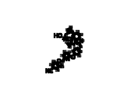 N#CCC1(Cn2c(CN3CCC(Oc4cccc(COc5ccc(C#N)cc5F)n4)CC3)nc3ccc(C4C#CC4C(=O)O)nc32)CC1